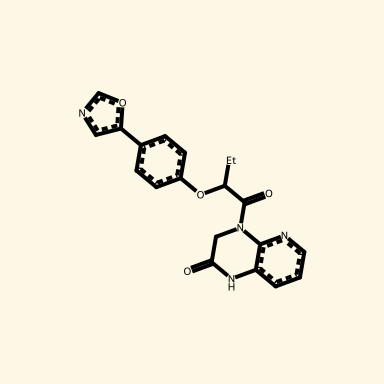 CCC(Oc1ccc(-c2cnco2)cc1)C(=O)N1CC(=O)Nc2cccnc21